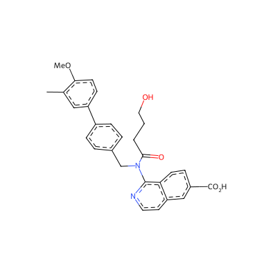 COc1ccc(-c2ccc(CN(C(=O)CCCO)c3nccc4cc(C(=O)O)ccc34)cc2)cc1C